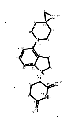 O=C1CC[C@H](N2CCc3c(N4CCC5(CC4)CO5)cccc32)C(=O)N1